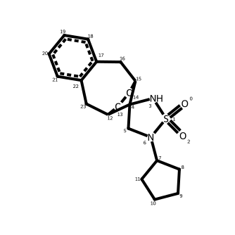 O=S1(=O)NC2(CN1C1CCCC1)C1CCC2Cc2ccccc2C1